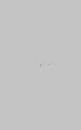 CN(C)CC[C@H](O)CO